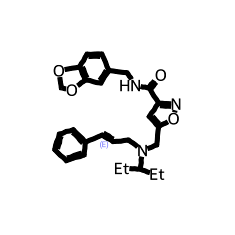 CCC(CC)N(C/C=C/c1ccccc1)Cc1cc(C(=O)NCc2ccc3c(c2)OCO3)no1